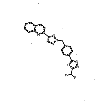 FC(F)c1nnc(-c2ccc(Cn3nnc(-c4ccc5ccccc5n4)n3)cc2)o1